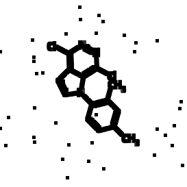 Cc1ccc(-n2ccc3c(Cl)nnc(Cl)c32)c(C)c1